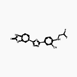 N#Cc1cc(-c2nnc(-c3ccc4[nH]c(=O)oc4c3)o2)ccc1NCC(F)F